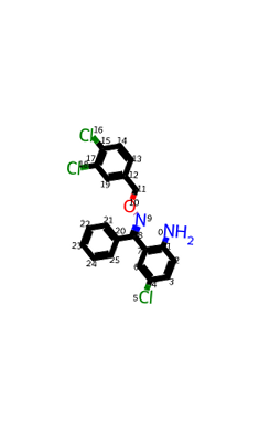 Nc1ccc(Cl)cc1/C(=N/OCc1ccc(Cl)c(Cl)c1)c1ccccc1